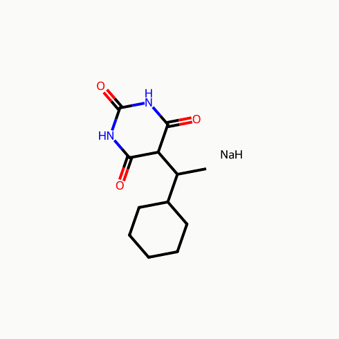 CC(C1CCCCC1)C1C(=O)NC(=O)NC1=O.[NaH]